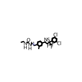 CCNC(=O)N/N=C/c1ccc(C2=NSC(c3cc(Cl)cc(Cl)c3)(C(F)(F)F)C2)cc1C